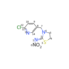 O=[N+]([O-])N=C1SCCN1Cc1ccc(Cl)nc1